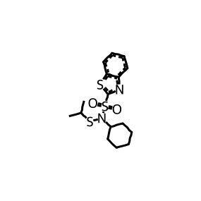 CC(C)SN(C1CCCCC1)S(=O)(=O)c1nc2ccccc2s1